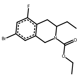 CCOC(=O)N1Cc2cc(Br)cc(F)c2CC1CC